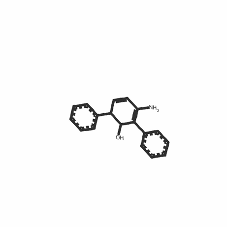 NC1=C(c2ccccc2)C(O)C(c2ccccc2)C=C1